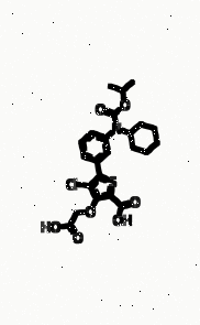 CC(C)OC(=O)N(c1cccc(-c2sc(C(=O)O)c(OCC(=O)O)c2Cl)c1)C1CCCCC1